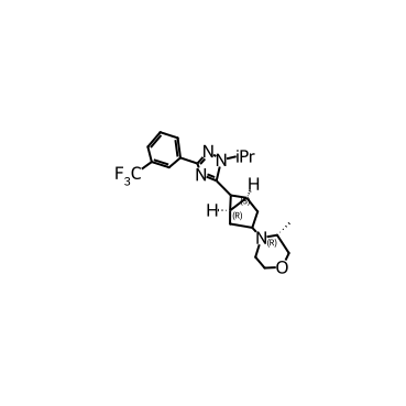 CC(C)n1nc(-c2cccc(C(F)(F)F)c2)nc1C1[C@H]2CC(N3CCOC[C@H]3C)C[C@@H]12